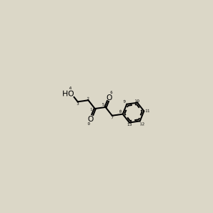 O=C(CCO)C(=O)Cc1ccccc1